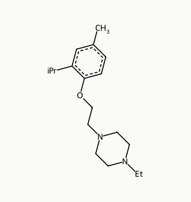 CCN1CCN(CCOc2ccc(C)cc2C(C)C)CC1